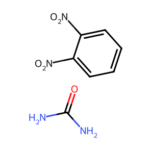 NC(N)=O.O=[N+]([O-])c1ccccc1[N+](=O)[O-]